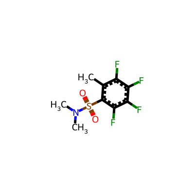 Cc1c(F)c(F)c(F)c(F)c1S(=O)(=O)N(C)C